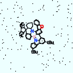 CC(C)(C)c1ccc2c(c1)c1cc(C(C)(C)C)cc3c1n2B1c2cccc4c2N(c2c1c-3cc1oc3ccccc3c21)C1CCCCC1C41c2ccccc2-c2ccccc21